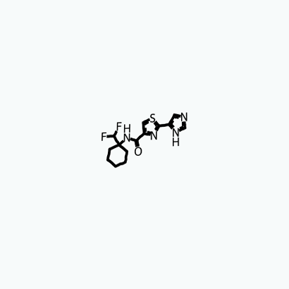 O=C(NC1(C(F)F)CCCCC1)c1csc(-c2cnc[nH]2)n1